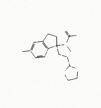 CN(C(=O)O)C1(CCC2OCCO2)CCc2cc(Cl)ccc21